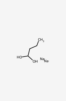 CCCC(O)O.[Na].[Na]